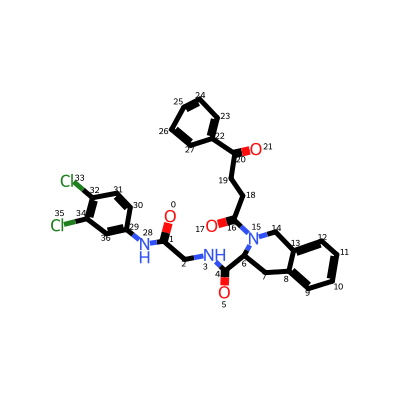 O=C(CNC(=O)C1Cc2ccccc2CN1C(=O)CCC(=O)c1ccccc1)Nc1ccc(Cl)c(Cl)c1